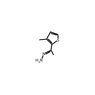 CC(=NN)c1sccc1C